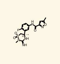 Cc1cc(C(=O)Nc2ccc(F)c([C@]3(C)CS(=O)(=O)N(C)C(=N)N3)c2)no1